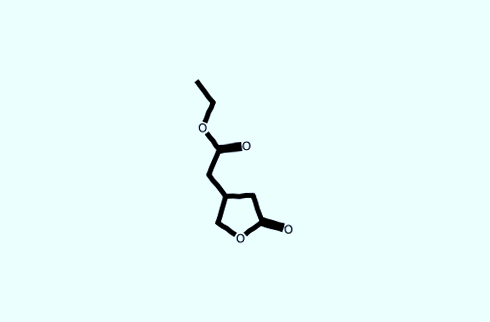 CCOC(=O)CC1COC(=O)C1